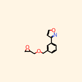 c1cc(COCC2CO2)cc(-c2ccon2)c1